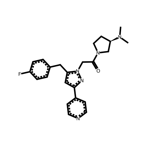 CN(C)[C@@H]1CCN(C(=O)Cn2nc(-c3ccncc3)cc2Cc2ccc(F)cc2)C1